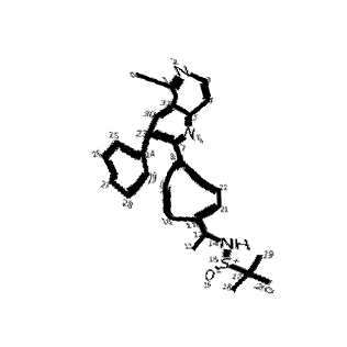 Cc1nccc2nc(-c3ccc(C(C)N[S+]([O-])C(C)(C)C)cc3)c(-c3ccccc3)cc12